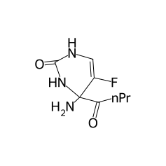 CCCC(=O)C1(N)NC(=O)NC=C1F